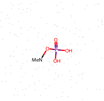 CNOP(=O)(O)O